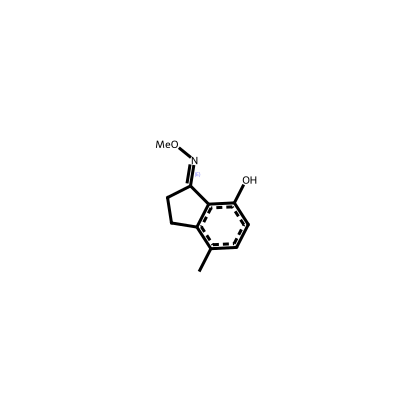 CO/N=C1\CCc2c(C)ccc(O)c21